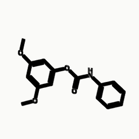 COc1cc(OC)cc(OC(=O)Nc2ccccc2)c1